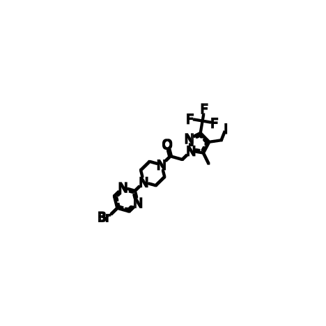 Cc1c(CI)c(C(F)(F)F)nn1CC(=O)N1CCN(c2ncc(Br)cn2)CC1